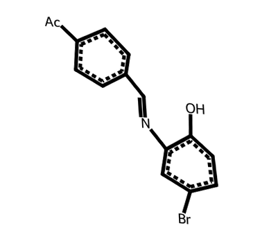 CC(=O)c1ccc(C=Nc2cc(Br)ccc2O)cc1